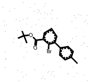 Cc1ccc(-c2cccc(C(=O)OC(C)(C)C)c2Br)cc1